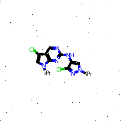 CC(C)n1cc(Nc2ncc3c(Cl)cn(C(C)C)c3n2)c(Cl)n1